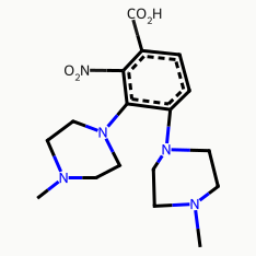 CN1CCN(c2ccc(C(=O)O)c([N+](=O)[O-])c2N2CCN(C)CC2)CC1